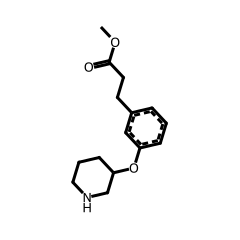 COC(=O)CCc1cccc(OC2CCCNC2)c1